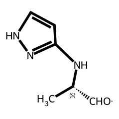 C[C@@H]([C]=O)Nc1cc[nH]n1